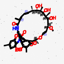 CO[C@H]1/C=C/O[C@@]2(C)Oc3c(C)c(O)c4c(=O)c(c5oc6cc(C)cc(O)c6nc-5c4c3C2=O)NC(=O)/C(C)=C\C=C\[C@H](C)[C@H](O)[C@@H](C)[C@@H](O)[C@@H](C)[C@H](O)[C@@H]1C